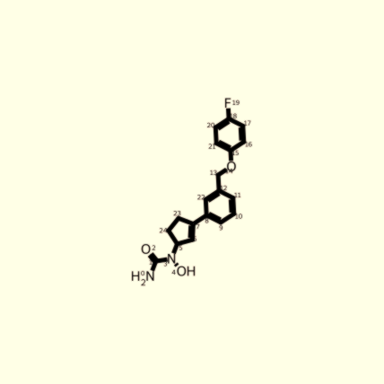 NC(=O)N(O)C1C=C(c2cccc(COc3ccc(F)cc3)c2)CC1